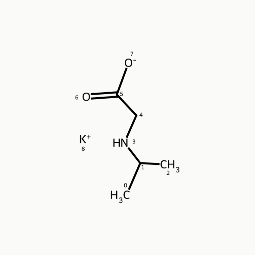 CC(C)NCC(=O)[O-].[K+]